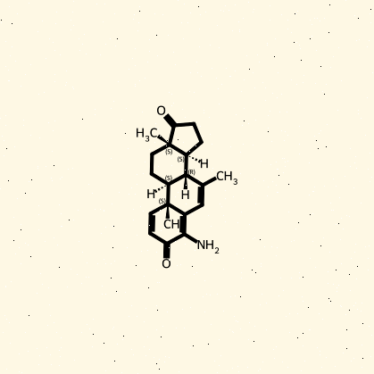 CC1=CC2=C(N)C(=O)C=C[C@]2(C)[C@H]2CC[C@]3(C)C(=O)CC[C@H]3[C@H]12